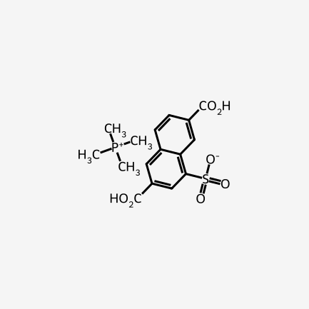 C[P+](C)(C)C.O=C(O)c1cc(S(=O)(=O)[O-])c2cc(C(=O)O)ccc2c1